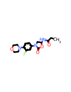 CCC(=O)NC1CN(c2ccc(N3CCOCC3)c(F)c2)C(=O)O1